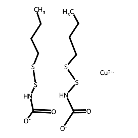 CCCCSSNC(=O)[O-].CCCCSSNC(=O)[O-].[Cu+2]